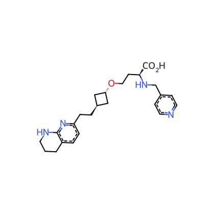 O=C(O)[C@H](CCO[C@H]1C[C@H](CCc2ccc3c(n2)NCCC3)C1)NCc1ccncc1